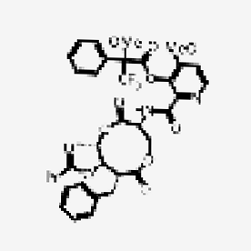 COc1ccnc(C(=O)N[C@H]2COC(=O)[C@H](Cc3ccccc3)[C@@H](OC(=O)C(C)C)[C@H](C)OC2=O)c1OC(=O)[C@@](OC)(c1ccccc1)C(F)(F)F